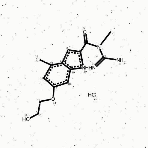 CN(C(=N)N)C(=O)c1cc2c(Cl)cc(OCCO)cc2[nH]1.Cl